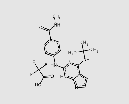 CNC(=O)c1ccc(Nc2nc(NC(C)(C)C)c3ccnc-3[nH]2)cc1.O=C(O)C(F)(F)F